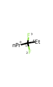 [CH2]CCC(F)(F)CC